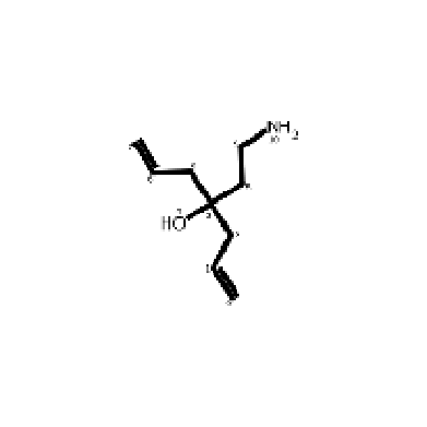 C=CCC(O)(CC=C)CCN